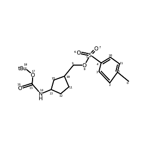 Cc1ccc(S(=O)(=O)OCC2CCC(NC(=O)OC(C)(C)C)C2)cc1